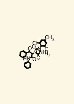 Cc1cc(C)c(-n2[nH]c(=O)n(C(C(=O)Nc3ccccc3)C(=O)c3ccccc3)c2=O)c(Cl)c1